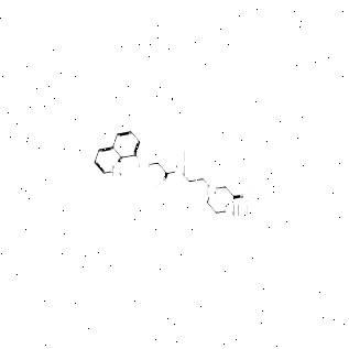 O=C(COc1cccc2cccnc12)NCCN1CCNC(=O)C1